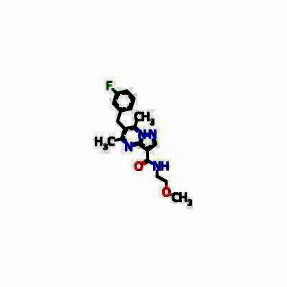 COCCNC(=O)c1cnn2c(C)c(Cc3cccc(F)c3)c(C)nc12